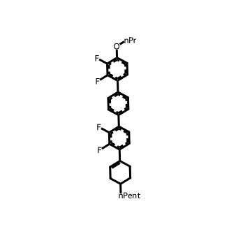 CCCCCC1CC=C(c2ccc(-c3ccc(-c4ccc(OCCC)c(F)c4F)cc3)c(F)c2F)CC1